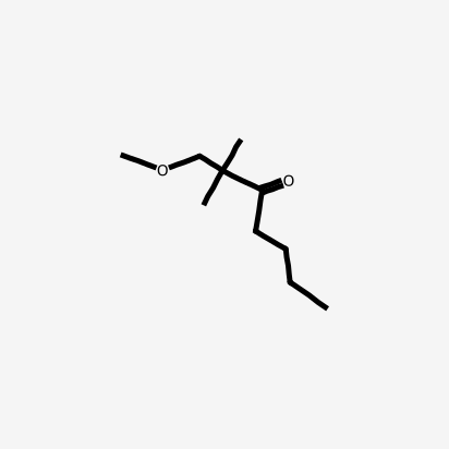 CCCCC(=O)C(C)(C)COC